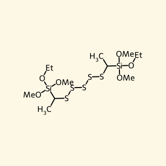 CCO[Si](OC)(OC)C(C)SSSSSC(C)[Si](OC)(OC)OCC